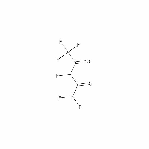 O=C(C(F)F)C(F)C(=O)C(F)(F)F